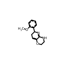 COc1ccccc1C1CC=C2OCCNC2=N1